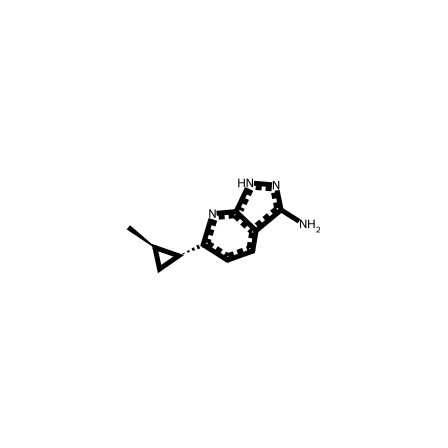 C[C@@H]1C[C@H]1c1ccc2c(N)n[nH]c2n1